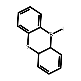 IB1c2ccccc2SC2C=CC=CC12